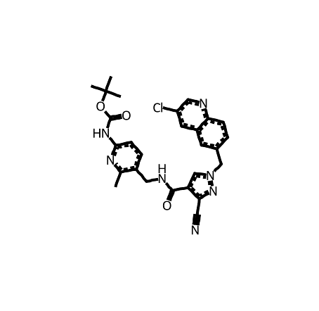 Cc1nc(NC(=O)OC(C)(C)C)ccc1CNC(=O)c1cn(Cc2ccc3ncc(Cl)cc3c2)nc1C#N